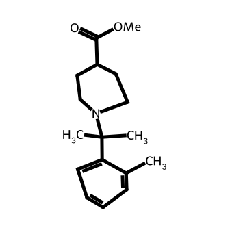 COC(=O)C1CCN(C(C)(C)c2ccccc2C)CC1